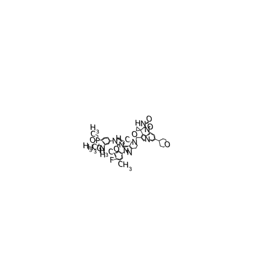 CCP(=O)(CC)c1ccc(-n2ccn(-c3c4c(nn3-c3cc(C)c(F)c(C)c3)CCN(C(=O)c3cn5cc(C6CCOCC6)ccc5c3C3(c5noc(=O)[nH]5)CC3)[C@H]4C)c2=O)cc1NC